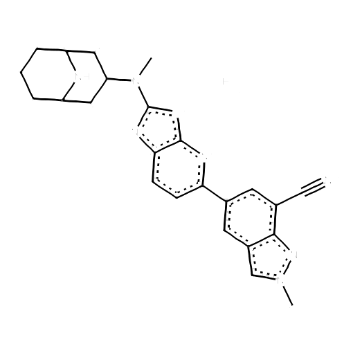 CN(c1nc2ccc(-c3cc(C#N)c4nn(C)cc4c3)nc2s1)C1CC2CCCC(C1)N2.Cl